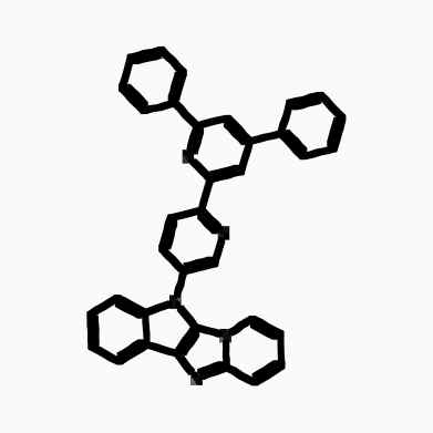 c1ccc(-c2cc(-c3ccccc3)nc(-c3ccc(-n4c5ccccc5c5nc6ccccn6c54)cn3)c2)cc1